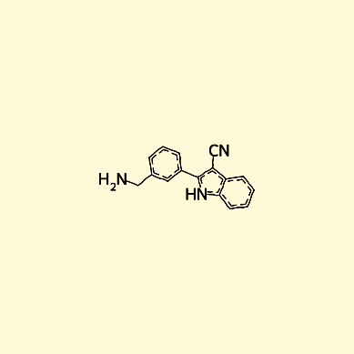 N#Cc1c(-c2cccc(CN)c2)[nH]c2ccccc12